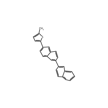 Cc1ccc(-c2ccc3cc(-c4ccc5ccccc5c4)ccc3c2)s1